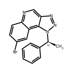 C[C@@H](c1ccccc1)n1nnc2cnc3ccc(Br)cc3c21